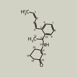 C/C=C\C=C/c1ccccc1C(C)NC1=CC(=O)CCC1